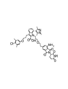 Cc1cc(OCCCc2c(C(=O)O)n(CCCOCCc3cc(N)c4c(c3)C(=O)N(C3CCC(=O)NC3=O)C4=O)c3c(-c4c(C)nn(C)c4C)cccc23)cc(C)c1Cl